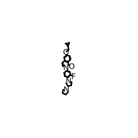 O=c1c2ccc(OCC3CC3)cc2ccn1-c1ccc(N2CC[C@@H](N3CCCC3)C2)c(F)c1